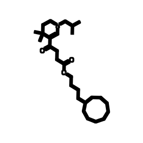 CC(C)CN1C=C(C(=O)CCC(=O)OCCCCC2CCCCCCCC2)C(C)(C)CC1